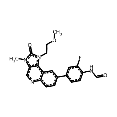 COCCn1c(=O)n(C)c2cnc3ccc(-c4ccc(NC=O)c(F)c4)cc3c21